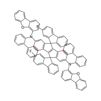 Fc1ccc2c(c1)C1(C3=C(c4ccc(N(c5ccccc5-c5ccccc5)c5cccc6c5oc5ccccc56)cc41)C1(c4cc(N(c5ccccc5-c5ccccc5)c5cccc6c5oc5ccccc56)ccc43)c3ccccc3-c3ccc(F)cc31)c1ccccc1-2